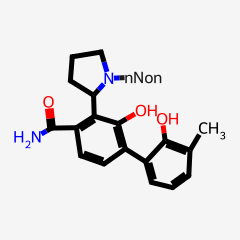 CCCCCCCCCN1CCCC1c1c(C(N)=O)ccc(-c2cccc(C)c2O)c1O